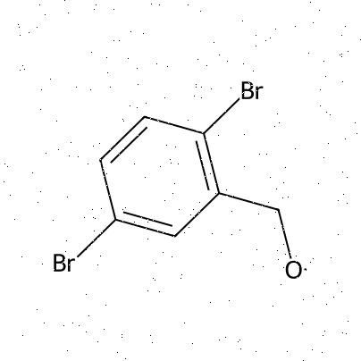 [O]Cc1cc(Br)ccc1Br